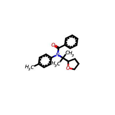 Cc1ccc(N(C(=O)c2ccccc2)C(C)(C)C2CCCO2)cc1